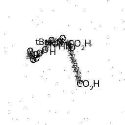 CC(C)(C)N(CCOCCOCC(=O)ON1C(=O)CCC1=O)C(=O)NC1CCN(C(=O)CC[C@H](NC(=O)CCCCCCCCCCCCCCCCC(=O)O)C(=O)O)CC1